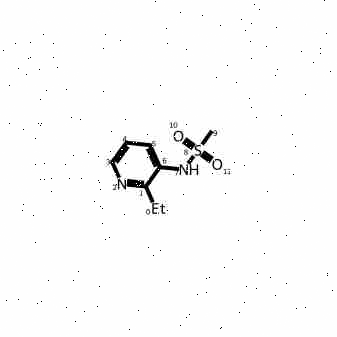 CCc1ncccc1NS(C)(=O)=O